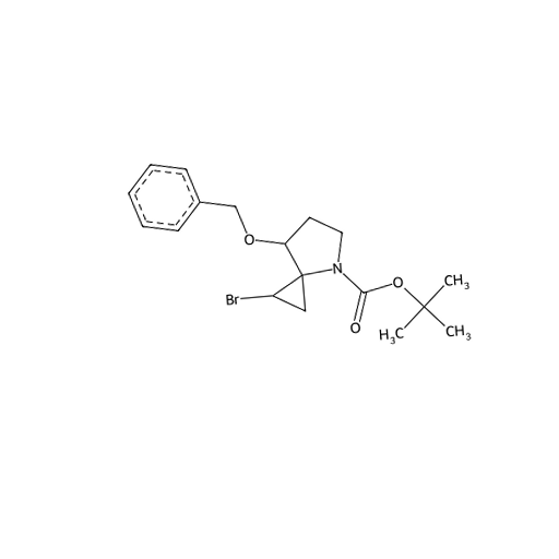 CC(C)(C)OC(=O)N1CCC(OCc2ccccc2)C12CC2Br